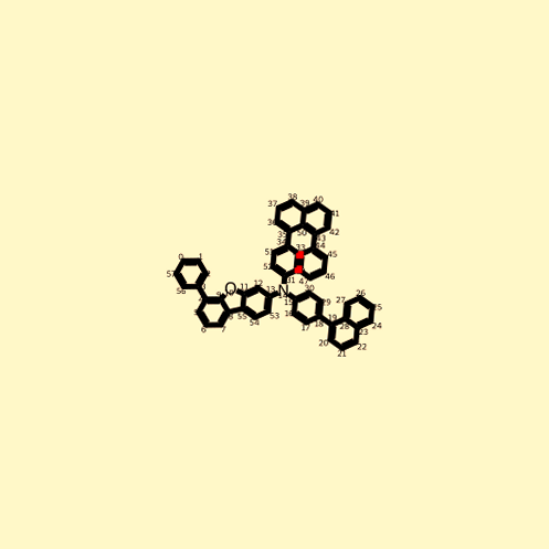 c1ccc(-c2cccc3c2oc2cc(N(c4ccc(-c5cccc6ccccc56)cc4)c4ccc(-c5cccc6cccc(-c7ccccc7)c56)cc4)ccc23)cc1